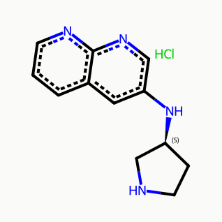 Cl.c1cnc2ncc(N[C@H]3CCNC3)cc2c1